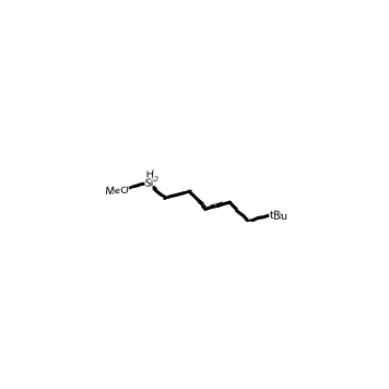 CO[SiH2]CCCCCC(C)(C)C